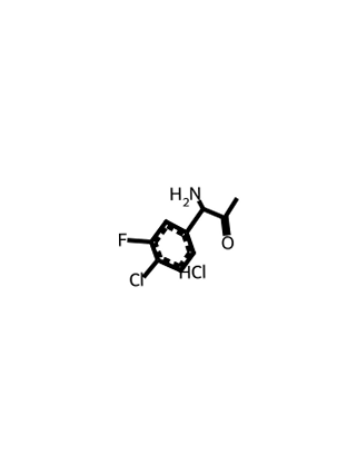 CC(=O)C(N)c1ccc(Cl)c(F)c1.Cl